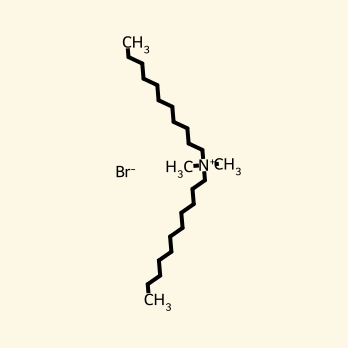 CCCCCCCCCCC[N+](C)(C)CCCCCCCCCCC.[Br-]